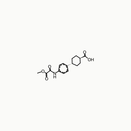 COC(=O)C(=O)Nc1ccc([C@H]2CC[C@H](C(=O)O)CC2)cc1